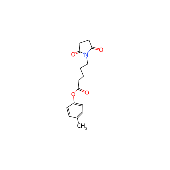 Cc1ccc(OC(=O)CCCCN2C(=O)CCC2=O)cc1